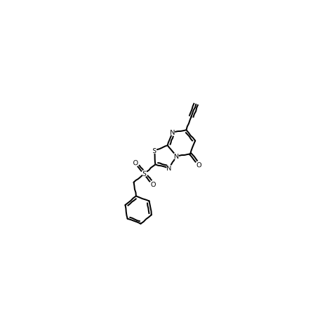 C#Cc1cc(=O)n2nc(S(=O)(=O)Cc3ccccc3)sc2n1